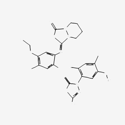 CC(C)Oc1cc(-n2nc(C(C)(C)C)oc2=O)c(Cl)cc1Cl.O=C(O)CSc1cc(N=c2sc(=O)n3n2CCCC3)c(F)cc1Cl